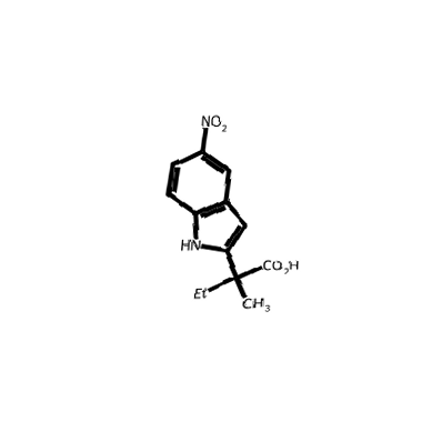 CCC(C)(C(=O)O)c1cc2cc([N+](=O)[O-])ccc2[nH]1